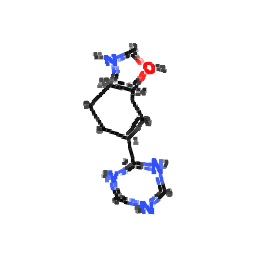 C1=C(c2ncncn2)CCc2ncoc21